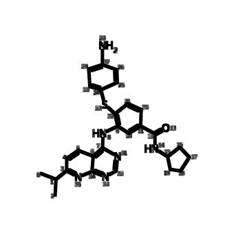 CC(C)c1ccc2c(Nc3cc(C(=O)NC4CCCC4)ccc3Sc3ccc(N)cc3)ncnc2n1